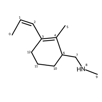 C/C=C\C1=C(C)C(CNC)CCC1